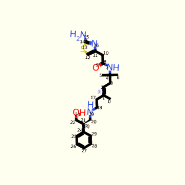 C/C(=C\CC(C)(C)NC(=O)Cc1csc(N)n1)CCNC[C@H](CO)c1ccccc1